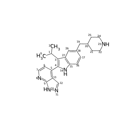 CC(C)c1c(-c2ccnc3[nH]ncc23)[nH]c2ccc(CC3CCNCC3)cc12